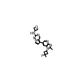 Cc1nc2ncc(-c3ccn4nc(NC5COC5)ncc34)cc2n1C1CC(C)(F)C1